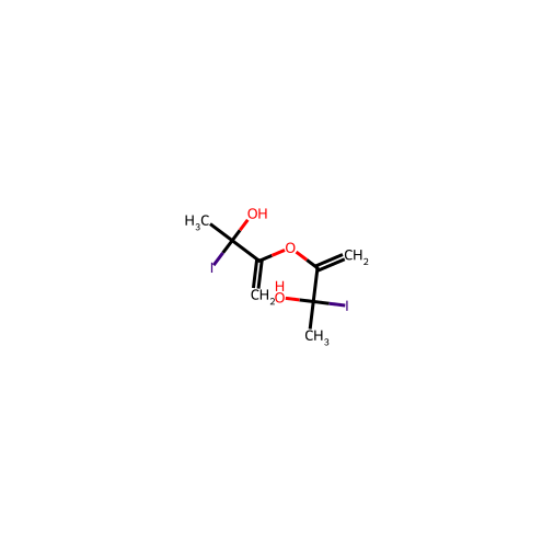 C=C(OC(=C)C(C)(O)I)C(C)(O)I